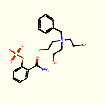 CCCCCCCCCCCC[N+](CCO)(CCO)Cc1ccccc1.NC(=O)c1ccccc1SS(=O)(=O)[O-]